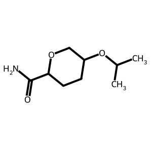 CC(C)OC1CCC(C(N)=O)OC1